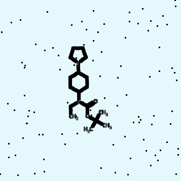 CCN(C(=O)OC(C)(C)C)C1CCC(N2CCCC2)CC1